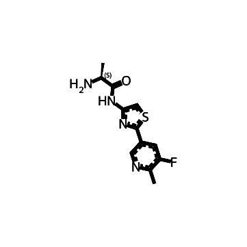 Cc1ncc(-c2nc(NC(=O)[C@H](C)N)cs2)cc1F